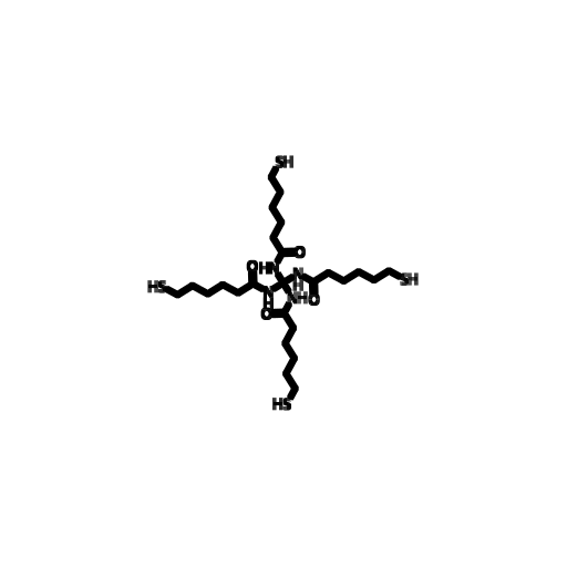 O=C(CCCCCS)NC(NC(=O)CCCCCS)(NC(=O)CCCCCS)NC(=O)CCCCCS